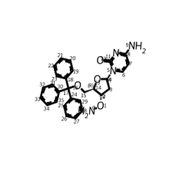 NO[C@H]1C[C@H](n2ccc(N)nc2=O)O[C@@H]1COC(c1ccccc1)(c1ccccc1)c1ccccc1